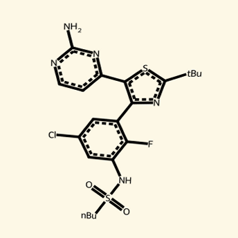 CCCCS(=O)(=O)Nc1cc(Cl)cc(-c2nc(C(C)(C)C)sc2-c2ccnc(N)n2)c1F